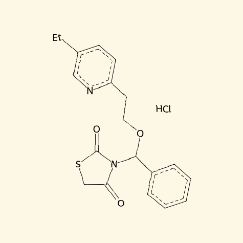 CCc1ccc(CCOC(c2ccccc2)N2C(=O)CSC2=O)nc1.Cl